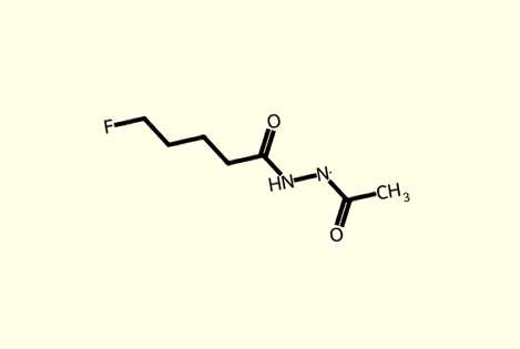 CC(=O)[N]NC(=O)CCCCF